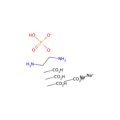 CC(=O)O.CC(=O)O.CC(=O)O.CC(=O)O.NCCN.O=P([O-])([O-])O.[Na+].[Na+]